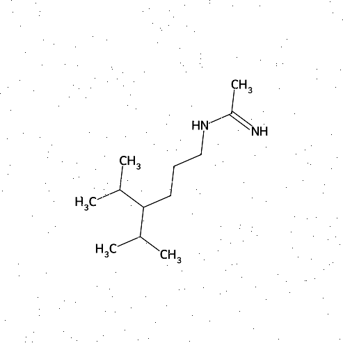 CC(=N)NCCCC(C(C)C)C(C)C